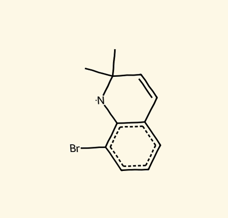 CC1(C)C=Cc2cccc(Br)c2[N]1